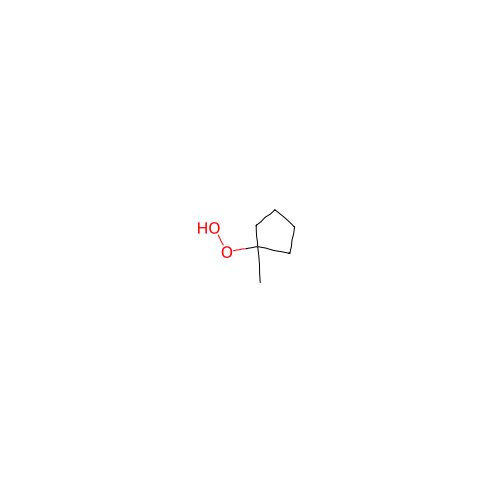 CC1(OO)CCCC1